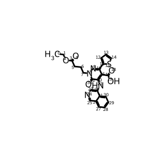 CCOC(=O)CCCn1nc(-c2cccs2)c(C(=O)O)c(Nc2cncc3ccccc23)c1=O